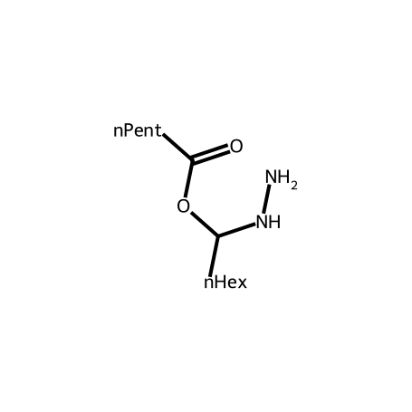 CCCCCCC(NN)OC(=O)CCCCC